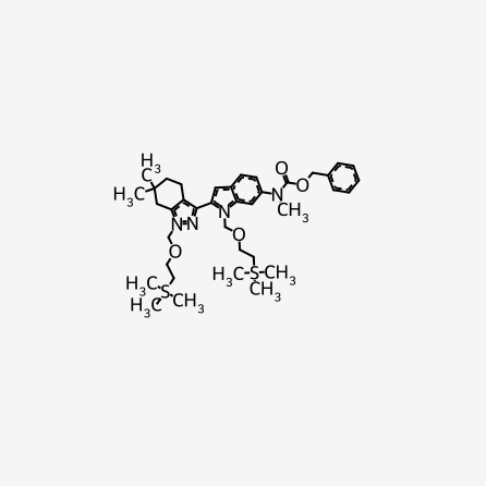 CN(C(=O)OCc1ccccc1)c1ccc2cc(-c3nn(COCCS(C)(C)C)c4c3CCC(C)(C)C4)n(COCCS(C)(C)C)c2c1